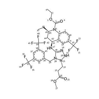 CCOC(=O)N1c2ccc(C(F)(F)F)cc2[C@@H](NC2=NNN(CCC(=O)OC)N2Cc2cc(C(F)(F)F)cc(C(F)(F)F)c2)C[C@H]1CC